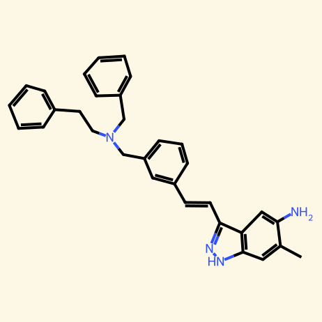 Cc1cc2[nH]nc(/C=C/c3cccc(CN(CCc4ccccc4)Cc4ccccc4)c3)c2cc1N